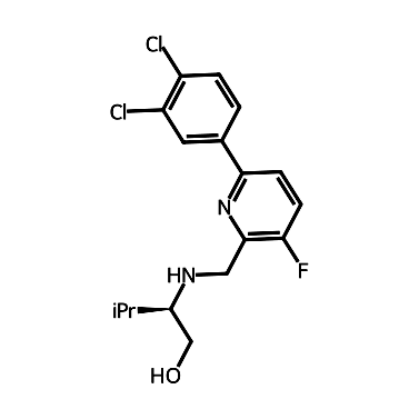 CC(C)[C@H](CO)NCc1nc(-c2ccc(Cl)c(Cl)c2)ccc1F